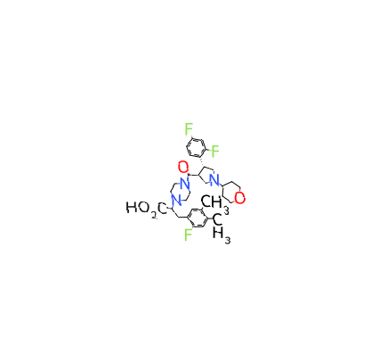 Cc1cc(F)c(C[C@@H](C(=O)O)N2CCN(C(=O)[C@@H]3CN(C4CCOCC4)C[C@H]3c3ccc(F)cc3F)CC2)cc1C